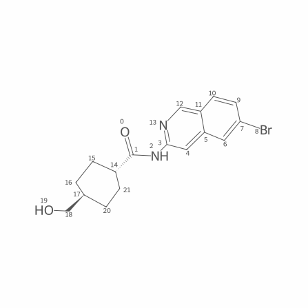 O=C(Nc1cc2cc(Br)ccc2cn1)[C@H]1CC[C@H](CO)CC1